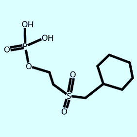 O=P(O)(O)OCCS(=O)(=O)CC1CCCCC1